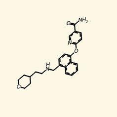 NC(=O)c1ccc(Oc2ccc(CNCCC3CCOCC3)c3ccccc23)nc1